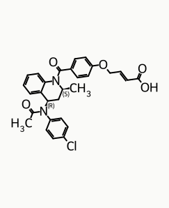 CC(=O)N(c1ccc(Cl)cc1)[C@@H]1C[C@H](C)N(C(=O)c2ccc(OCC=CC(=O)O)cc2)c2ccccc21